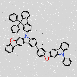 c1ccc(-n2c3ccccc3c3cc4c(cc32)oc2ccc(-c3ccc5c(c3)c3cc6c(cc3n5-c3ccc5c(c3)C(c3ccccc3)(c3ccccc3)c3ccccc3-5)oc3ccccc36)cc24)cc1